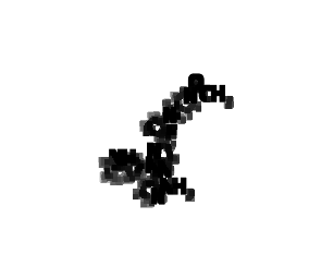 CC(=O)N1CCC2(CC1)CN(c1cccc(-c3ccc4nc(-c5cccnc5N)n(-c5ccc(C6(N)CCC6)cc5)c4n3)c1F)C2